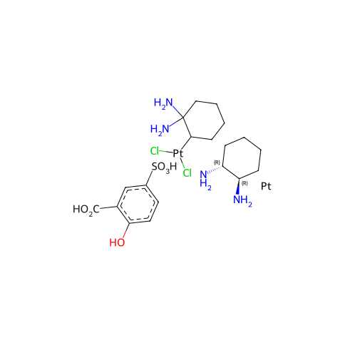 NC1(N)CCCC[CH]1[Pt]([Cl])[Cl].N[C@@H]1CCCC[C@H]1N.O=C(O)c1cc(S(=O)(=O)O)ccc1O.[Pt]